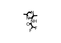 Cc1cnc(C)c(NC(=O)C(F)F)n1